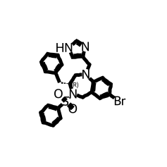 O=S(=O)(c1ccccc1)N1Cc2cc(Br)ccc2N(Cc2c[nH]cn2)C[C@H]1Cc1ccccc1